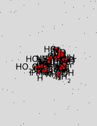 CC[C@H](C)[C@H](NC(=O)[C@H](CCCCN)NC(=O)[C@H](CCC(=O)O)NC(=O)[C@@H](NC(=O)[C@@H](N)CCCCN)C(C)C)C(=O)NCC(=O)N[C@@H](CCC(=O)O)C(=O)NCC(=O)N[C@H](C(=O)N[C@@H](Cc1ccc(O)cc1)C(=O)NCC(=O)N[C@H](C(=O)N[C@H](C(=O)N[C@@H](Cc1ccc(O)cc1)C(=O)N[C@@H](CCCCN)C(N)=O)C(C)C)C(C)C)[C@@H](C)O